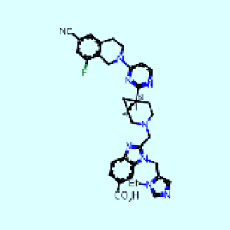 CCn1cncc1Cn1c(CN2CC[C@@]3(c4nccc(N5CCc6cc(C#N)cc(F)c6C5)n4)C[C@H]3C2)nc2ccc(C(=O)O)cc21